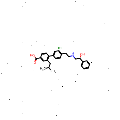 CC(C)Cc1cc(C(=O)O)ccc1-c1ccc(CCNC[C@@H](O)c2ccccc2)cc1.Cl